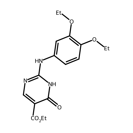 CCOC(=O)c1cnc(Nc2ccc(OCC)c(OCC)c2)[nH]c1=O